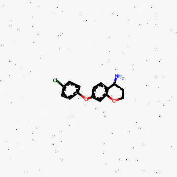 NC1CCOc2cc(Oc3ccc(Cl)cc3)ccc21